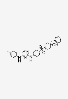 O=S(=O)(c1ccc(Nc2nccc(Nc3ccc(F)cc3)n2)cc1)N1CCC(O)(Cc2ccccc2)CC1